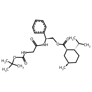 CC(C)[C@@H]1CC[C@@H](C)C[C@H]1C(=O)OC[C@@H](NC(=O)CNC(=O)OC(C)(C)C)c1ccccc1